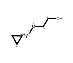 C1CC1.COCCO